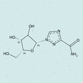 NC(=O)c1ncn([C@@H]2O[C@H](CO)[C@H](O)C2O)n1